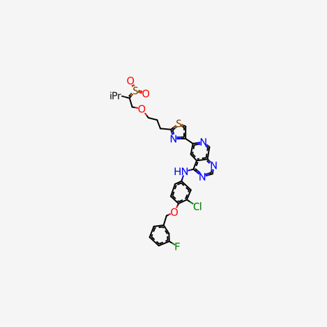 CC(C)C(COCCCc1nc(-c2cc3c(Nc4ccc(OCc5cccc(F)c5)c(Cl)c4)ncnc3cn2)cs1)=S(=O)=O